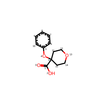 O=C(O)C1(Oc2ccccc2)CCOCC1